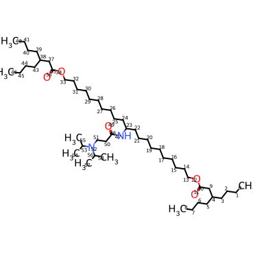 CCCCC(CCCC)CC(=O)OCCCCCCCCCCC(CCCCCCCCCCOC(=O)CC(CCCC)CCCC)NC(=O)CCN(C(C)C)C(C)C